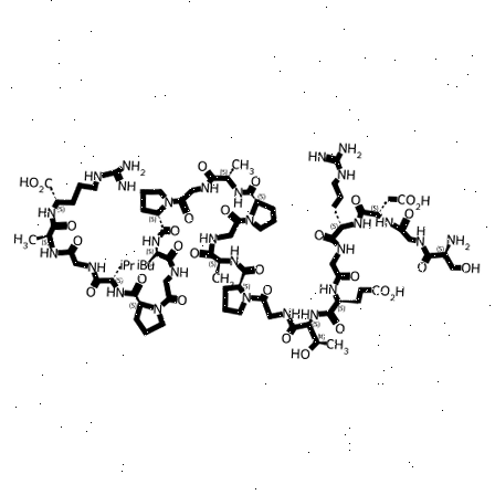 CC[C@H](C)[C@H](NC(=O)[C@@H]1CCCN1C(=O)CNC(=O)[C@H](C)NC(=O)[C@@H]1CCCN1C(=O)CNC(=O)[C@H](C)NC(=O)[C@@H]1CCCN1C(=O)CNC(=O)[C@@H](NC(=O)[C@H](CCC(=O)O)NC(=O)CNC(=O)[C@H](CCCNC(=N)N)NC(=O)[C@H](CC(=O)O)NC(=O)CNC(=O)[C@@H](N)CO)[C@@H](C)O)C(=O)NCC(=O)N1CCC[C@H]1C(=O)N[C@H](C(=O)NCC(=O)N[C@@H](C)C(=O)N[C@@H](CCCNC(=N)N)C(=O)O)C(C)C